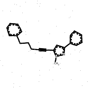 Cn1nc(-c2ccccc2)cc1C#CCCCc1ccccc1